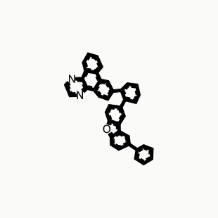 c1ccc(-c2ccc3oc4ccc(-c5ccccc5-c5ccc6c(c5)c5ccccc5c5nccnc65)cc4c3c2)cc1